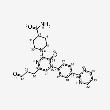 NC(=O)C1CCN(c2nc(CCC=O)cn(-c3ccc(-c4ncccn4)cc3)c2=O)CC1